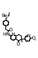 CC[S+]([O-])c1ccc(CC(=O)Nc2ccc3c(n2)CCC(C)(c2ccc(OC)nc2)C3=O)cc1